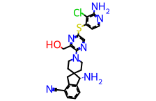 N#Cc1cccc2c1CC1(CCN(c3ncc(Sc4ccnc(N)c4Cl)nc3CO)CC1)[C@@H]2N